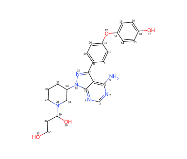 Nc1ncnc2c1c(-c1ccc(Oc3ccc(O)cc3)cc1)nn2C1CCCN(C(O)CCO)C1